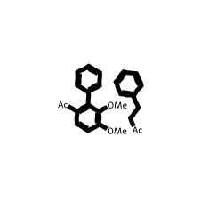 CC(=O)CCc1ccccc1.COc1ccc(C(C)=O)c(-c2ccccc2)c1OC